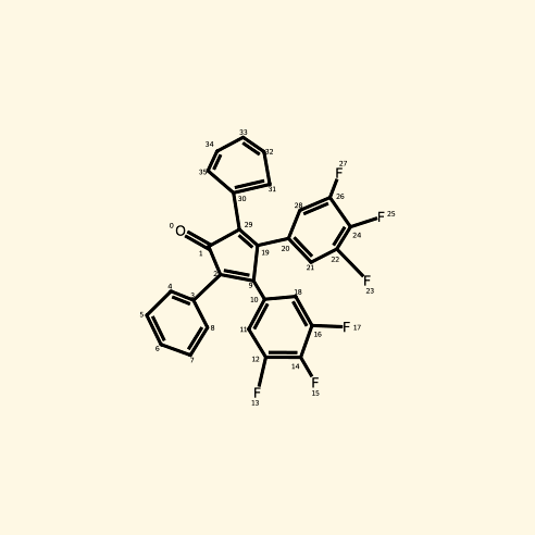 O=C1C(c2ccccc2)=C(c2cc(F)c(F)c(F)c2)C(c2cc(F)c(F)c(F)c2)=C1c1ccccc1